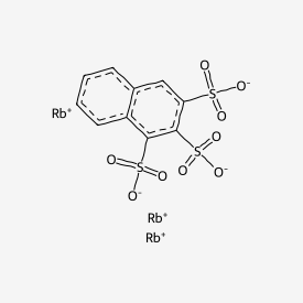 O=S(=O)([O-])c1cc2ccccc2c(S(=O)(=O)[O-])c1S(=O)(=O)[O-].[Rb+].[Rb+].[Rb+]